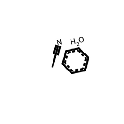 CC#N.O.c1ccccc1